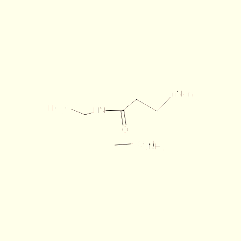 CC(=O)O.CCCCCCCCCCCC(=O)NCC(=O)O.N